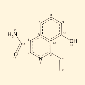 C=Cc1nccc2cccc(O)c12.NC=O